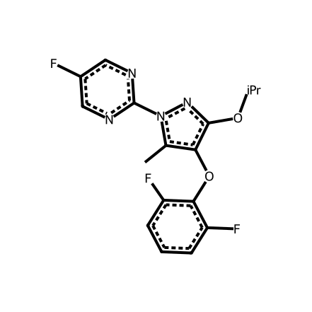 Cc1c(Oc2c(F)cccc2F)c(OC(C)C)nn1-c1ncc(F)cn1